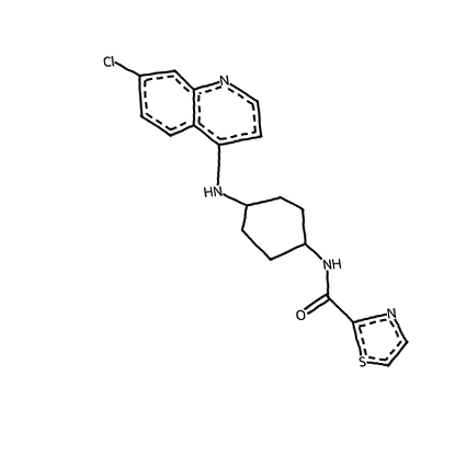 O=C(NC1CCC(Nc2ccnc3cc(Cl)ccc23)CC1)c1nccs1